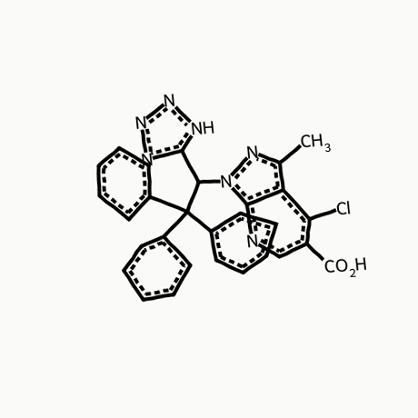 Cc1nn(C(c2nnn[nH]2)C(c2ccccc2)(c2ccccc2)c2ccccc2)c2ncc(C(=O)O)c(Cl)c12